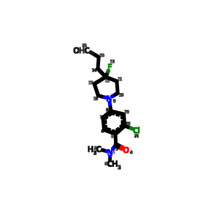 CN(C)C(=O)c1ccc(N2CCC(F)(CCC=O)CC2)cc1Cl